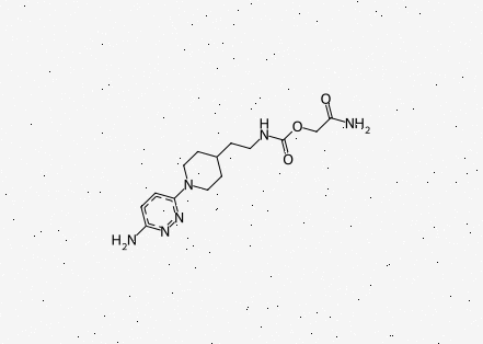 NC(=O)COC(=O)NCCC1CCN(c2ccc(N)nn2)CC1